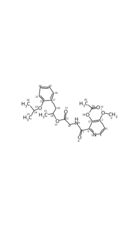 COc1ccnc(C(=O)NCC(=O)OC(C)Cc2ccccc2OC(C)C)c1OC(C)=O